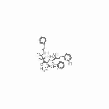 CC(C)[C@H](C(=O)C(F)(F)C(=O)NCCc1ccccc1)C(N)[C@@H](Cc1ccccc1)C(N)CCc1cccc(Cl)c1